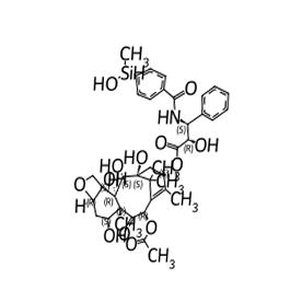 CC(=O)O[C@H]1C(=O)[C@@]2(C)[C@H]([C@H](O)[C@]3(O)C[C@H](OC(=O)[C@H](O)[C@@H](NC(=O)c4ccc([SiH](C)O)cc4)c4ccccc4)C(C)=C1C3(C)C)[C@]1(O)CO[C@@H]1C[C@@H]2O